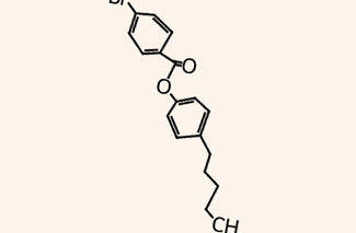 CCCCCc1ccc(OC(=O)c2ccc(Br)cc2)cc1